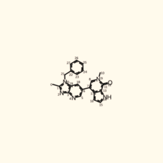 Cc1nc2ncc(-c3cn(C)c(=O)c4[nH]ccc34)cc2n1Cc1ccccc1